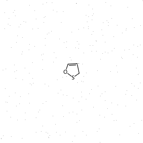 [C]1=COSC1